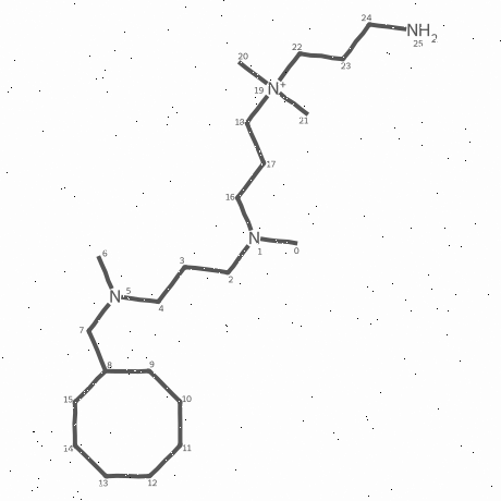 CN(CCCN(C)CC1CCCCCCC1)CCC[N+](C)(C)CCCN